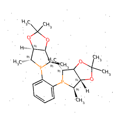 C[C@@H]1C2OC(C)(C)O[C@@H]2[C@@H](C)P1c1ccccc1P1[C@H](C)C2OC(C)(C)O[C@@H]2[C@H]1C